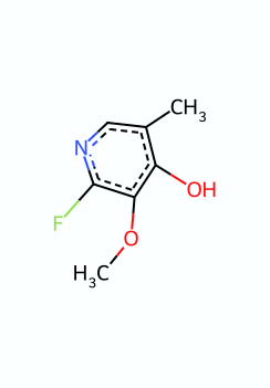 COc1c(F)ncc(C)c1O